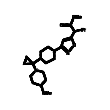 COC(=O)C(c1cc(N2CCC(C3(N4CCC(OC)CC4)CC3)CC2)no1)C(C)C